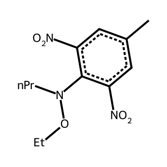 CCCN(OCC)c1c([N+](=O)[O-])cc(C)cc1[N+](=O)[O-]